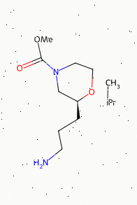 CC(C)C.COC(=O)N1CCO[C@@H](CCCN)C1